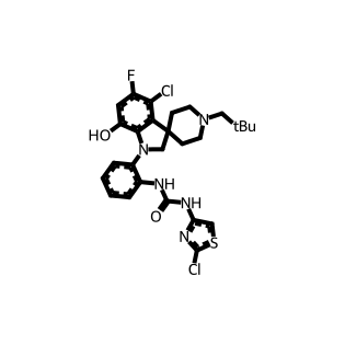 CC(C)(C)CN1CCC2(CC1)CN(c1ccccc1NC(=O)Nc1csc(Cl)n1)c1c(O)cc(F)c(Cl)c12